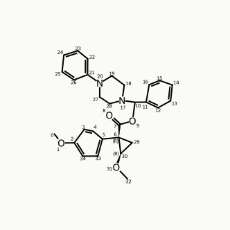 COc1ccc([C@]2(C(=O)OC(c3ccccc3)N3CCN(c4ccccc4)CC3)C[C@H]2OC)cc1